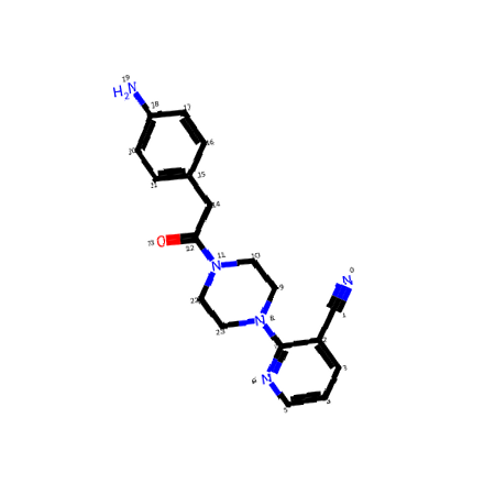 N#Cc1cccnc1N1CCN(C(=O)Cc2ccc(N)cc2)CC1